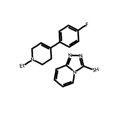 CCN1CC=C(c2ccc(F)cc2)CC1.Sc1nnc2ccccn12